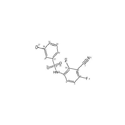 N#Cc1c(F)ccc(NS(=O)(=O)c2cccc(Cl)c2)c1F